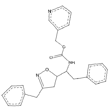 O=C(NC(Cc1ccccc1)C1CC(Cc2ccccc2)=NO1)OCc1cccnc1